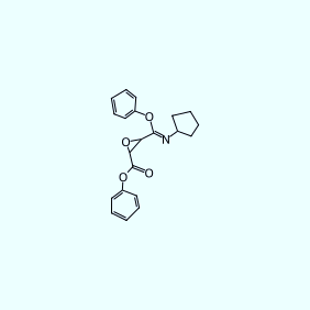 O=C(Oc1ccccc1)C1OC1C(=NC1CCCC1)Oc1ccccc1